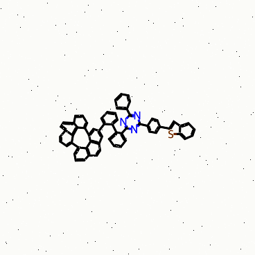 c1ccc(-c2nc(-c3ccc(-c4cc5ccccc5s4)cc3)nc(-c3ccccc3-c3ccccc3-c3cc4ccc5cccc6c7cccc8ccc9cccc(c(c3)c4c56)c9c87)n2)cc1